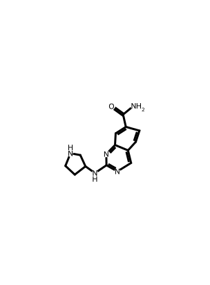 NC(=O)c1ccc2cnc(NC3CCNC3)nc2c1